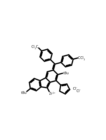 CC(C)(C)c1ccc2c(c1)[C]([Zr+2])=c1c-2cc(=C(c2ccc(C(Cl)(Cl)Cl)cc2)c2ccc(C(Cl)(Cl)Cl)cc2)c(C(C)(C)C)c1C1=CC=CC1.[Cl-].[Cl-]